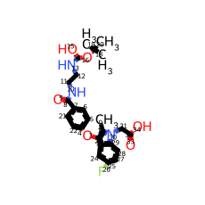 Cc1c(Oc2ccc(C(=O)NCCNC(O)OC(C)(C)C)cc2)c2cc(F)ccc2n1CC(=O)O